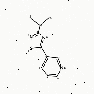 CC(C)c1nsc(-c2cccnc2)n1